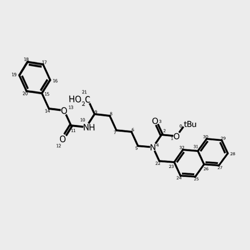 CC(C)(C)OC(=O)N(CCCCC(NC(=O)OCc1ccccc1)C(=O)O)Cc1ccc2ccccc2c1